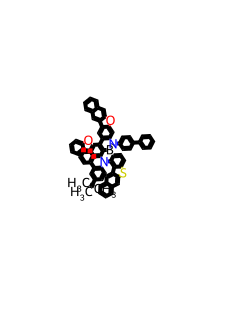 CC(C)(C)c1ccc(N2c3cc4c(oc5ccccc54)c4c3B(c3ccc5sc6cc7ccccc7cc6c5c32)N(c2ccc(-c3ccccc3)cc2)c2cc3oc5cc6ccccc6cc5c3cc2-4)c(-c2ccccc2)c1